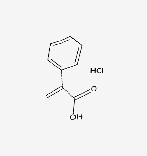 C=C(C(=O)O)c1ccccc1.Cl